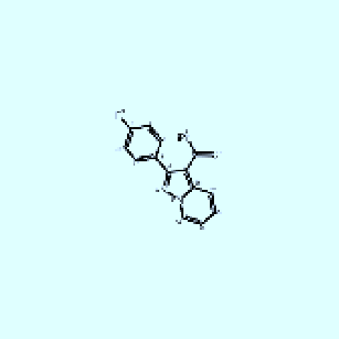 CC(C)C(=O)c1c(-c2ccc(F)cc2)nn2ccccc12